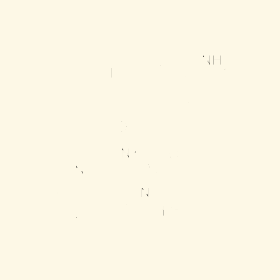 CC(C)n1c(=O)n(Oc2ccc(N)cc2F)c2ncccc21